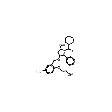 CCCCC1CC(NCc2cc(C(F)(F)F)ccc2OCCO)C(c2ccccc2)N1C(=O)C1CCCCC1